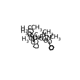 CN(CC(=O)N(C)[C@@H](CC1CCCCC1)C(=O)N(C)CC(=O)CC(C)(C)C)C(=O)CN(C)C(=O)OCc1ccccc1